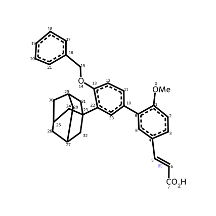 COc1ccc(/C=C/C(=O)O)cc1-c1ccc(OCc2ccccc2)c(C23CC4CC(CC(C4)C2)C3)c1